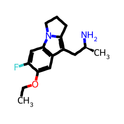 CCOc1cc2c(C[C@H](C)N)c3n(c2cc1F)CCC3